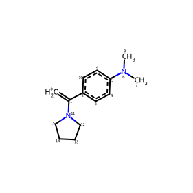 C=C(c1ccc(N(C)C)cc1)N1CCCC1